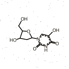 O=c1[nH]c(=O)n(C2CC(O)C(CO)O2)cc1O